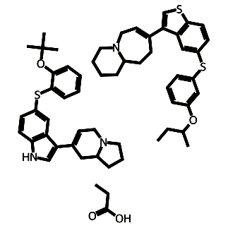 CC(C)(C)Oc1ccccc1Sc1ccc2[nH]cc(C3=CCN4CCCC4C3)c2c1.CCC(=O)O.CCC(C)Oc1cccc(Sc2ccc3scc(C4=CCN5CCCCC5CC4)c3c2)c1